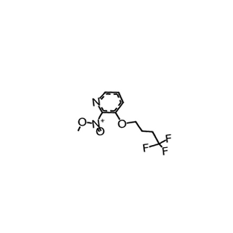 CO[N+](=O)c1ncccc1OCCCC(F)(F)F